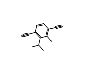 CC(C)c1c(C#N)ccc(C#N)c1F